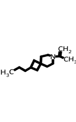 C=C(C)N1CCC2(CC1)CC(CCC)C2